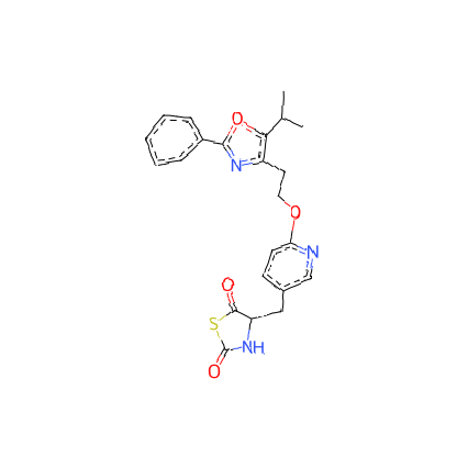 CC(C)c1oc(-c2ccccc2)nc1CCOc1ccc(CC2NC(=O)SC2=O)cn1